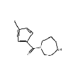 O=C(c1ccc(I)cc1)N1CCCNCC1